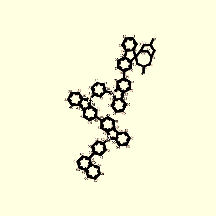 CC1CC2CC(C)CC3(c4ccccc4-c4ccc(-c5ccc6c7ccccc7n(-c7cccc(-n8c9ccccc9c9ccc(-c%10ccc%11c%12ccccc%12n(-c%12ccc(-c%13cccc%14ccccc%13%14)cc%12)c%11c%10)cc98)c7)c6c5)cc43)C(C1)C2